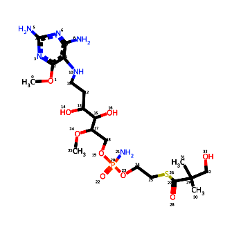 COc1nc(N)nc(N)c1NCCC(O)C(O)C(COP(N)(=O)OCCSC(=O)C(C)(C)CO)OC